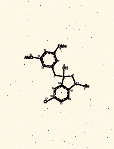 CCCCN1CC(O)(Cc2cc(OC)cc(OC)c2)c2cc(Cl)ccc21